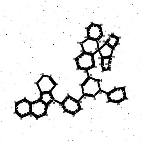 C1=Cc2c(c3c4ccccc4ccc3n2-c2cccc(C3=NC(c4ccccc4)NC(c4ccc5c(c4)C4(c6ccccc6O5)c5ccccc5-c5ccccc54)=C3)c2)CC1